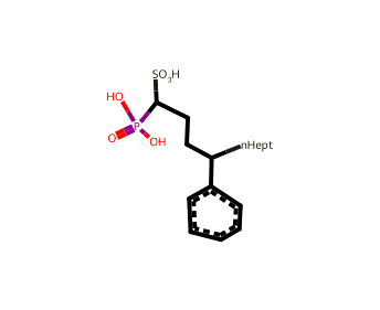 CCCCCCCC(CCC(P(=O)(O)O)S(=O)(=O)O)c1ccccc1